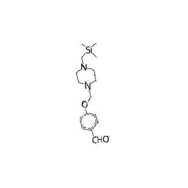 C[Si](C)(C)CN1CCN(COc2ccc(C=O)cc2)CC1